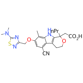 CCCC1(CC(=O)O)OCCc2c1[nH]c1c(C)c(OCc3nsc(N(C)C)n3)cc(C#N)c21